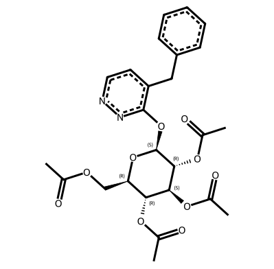 CC(=O)OC[C@H]1O[C@@H](Oc2nnccc2Cc2ccccc2)[C@H](OC(C)=O)[C@@H](OC(C)=O)[C@@H]1OC(C)=O